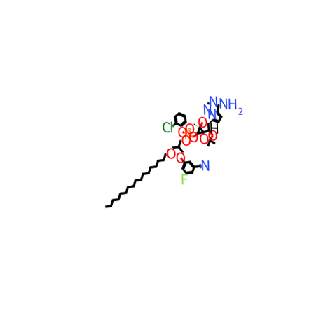 CCCCCCCCCCCCCCCCCOCC(COc1cc(F)cc(C#N)c1)COP(=O)(Oc1ccccc1Cl)OC1[C@@]2(C)O[C@@H](c3ccc4c(N)ncnn34)[C@@H]3OC(C)(C)O[C@@]132